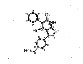 O=c1[nH]c2scc(-c3ccc(CO)cc3)c2c(O)c1-c1ccccc1